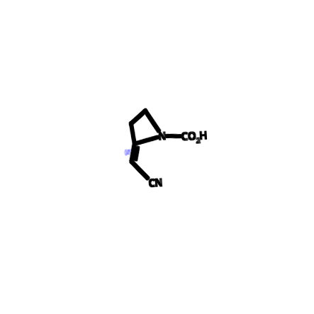 N#C/C=C1/CCN1C(=O)O